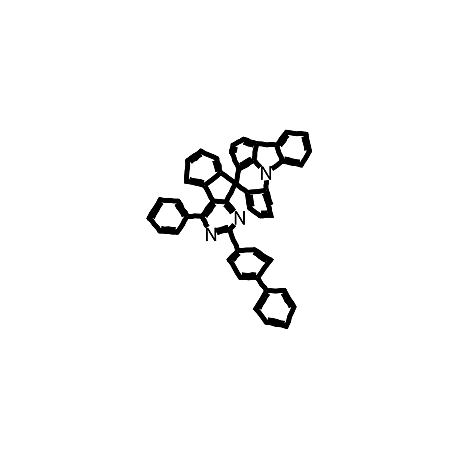 c1ccc(-c2ccc(-c3nc(-c4ccccc4)c4c(n3)C3(c5ccccc5-4)c4ccccc4-n4c5ccccc5c5cccc3c54)cc2)cc1